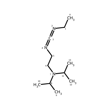 CCN=C=NCCN(C(C)C)C(C)C